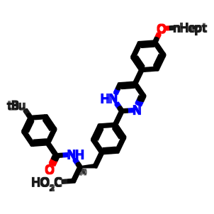 CCCCCCCOc1ccc(C2=CNC(c3ccc(C[C@@H](CC(=O)O)NC(=O)c4ccc(C(C)(C)C)cc4)cc3)N=C2)cc1